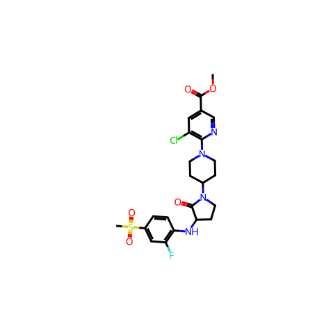 COC(=O)c1cnc(N2CCC(N3CCC(Nc4ccc(S(C)(=O)=O)cc4F)C3=O)CC2)c(Cl)c1